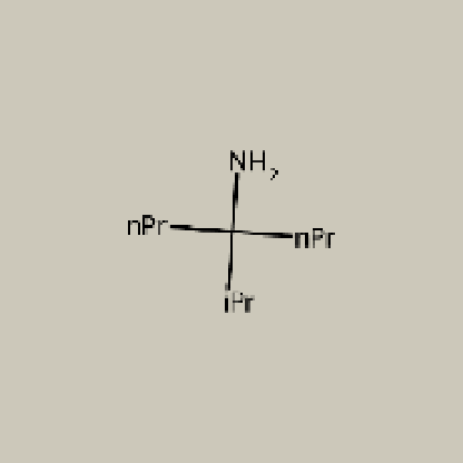 CCCC(N)(CCC)C(C)C